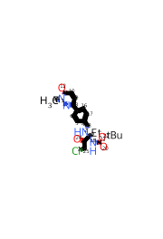 CCC(NCc1ccc(-c2ccc(=O)n(C)n2)cc1)(NC(=O)OC(C)(C)C)C(=O)CCl